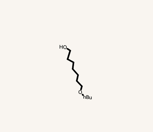 CCCCOCCCCCCCO